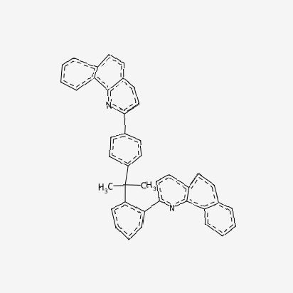 CC(C)(c1ccc(-c2ccc3ccc4ccccc4c3n2)cc1)c1ccccc1-c1ccc2ccc3ccccc3c2n1